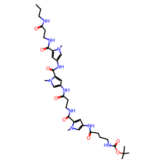 CCCNC(=O)CCNC(=O)c1cc(NC(=O)c2cc(NC(=O)CCNC(=O)c3cc(NC(=O)CCCNC(=O)OC(C)(C)C)cn3C)cn2C)cn1C